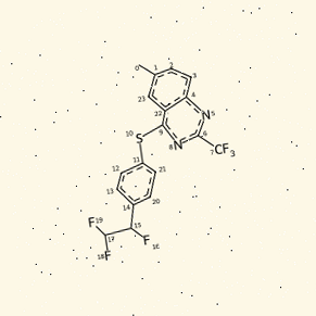 Cc1ccc2nc(C(F)(F)F)nc(Sc3ccc(C(F)C(F)F)cc3)c2c1